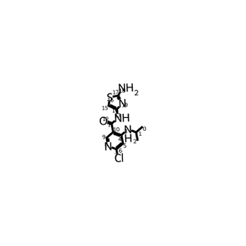 CC(C)Nc1cc(Cl)ncc1C(=O)Nc1csc(N)n1